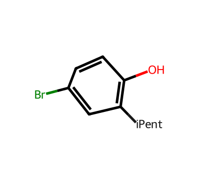 CCCC(C)c1cc(Br)ccc1O